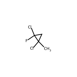 CC1(Cl)CC1(F)Cl